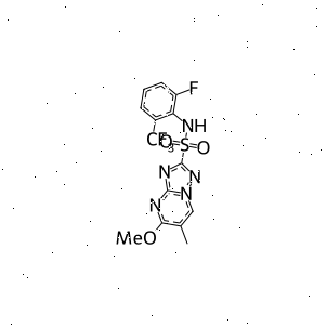 COc1nc2nc(S(=O)(=O)Nc3c(F)cccc3C(F)(F)F)nn2cc1C